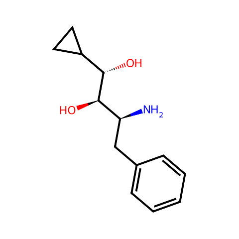 N[C@@H](Cc1ccccc1)[C@@H](O)[C@@H](O)C1CC1